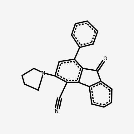 N#Cc1c(N2CCCC2)cc(-c2ccccc2)c2c1-c1ccccc1C2=O